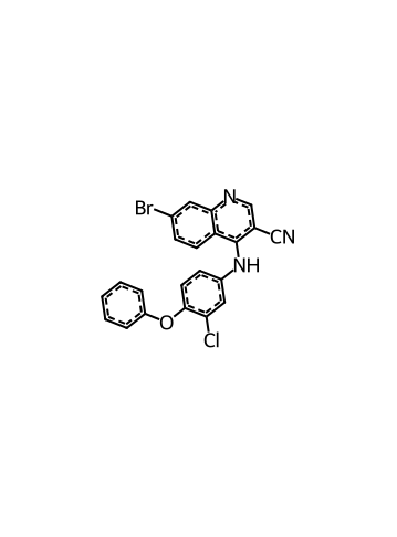 N#Cc1cnc2cc(Br)ccc2c1Nc1ccc(Oc2ccccc2)c(Cl)c1